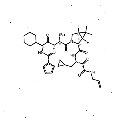 C=CCNC(=O)C(=O)C(CC1CC1)NC(=O)[C@@H]1[C@@H]2[C@H](CN1C(=O)[C@@H](NC(=O)[C@@H](NC(=O)c1cccs1)C1CCCCC1)C(C)(C)C)C2(C)C